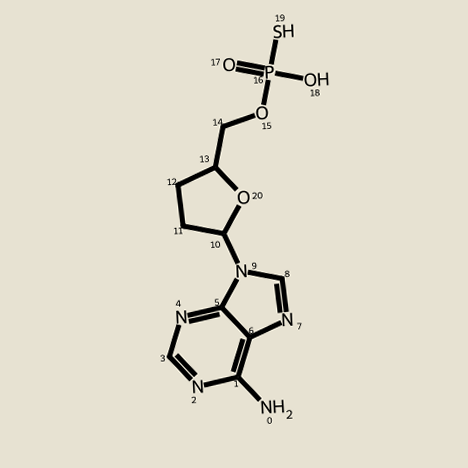 Nc1ncnc2c1ncn2C1CCC(COP(=O)(O)S)O1